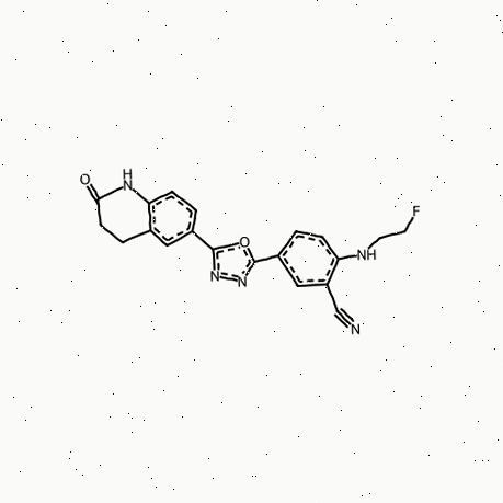 N#Cc1cc(-c2nnc(-c3ccc4c(c3)CCC(=O)N4)o2)ccc1NCCF